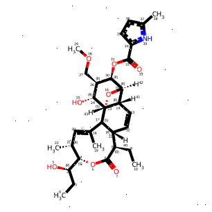 CC[C@@H](O)[C@H]1OC(=O)[C@H](CC)[C@H]2C=C[C@H]3[C@H]4O[C@]2(/C(C)=C/[C@H]1C)[C@@H]3[C@H](O)[C@@H](COC)[C@H]4OC(=O)c1ccc(C)[nH]1